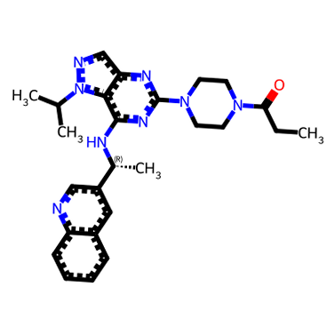 CCC(=O)N1CCN(c2nc(N[C@H](C)c3cnc4ccccc4c3)c3c(cnn3C(C)C)n2)CC1